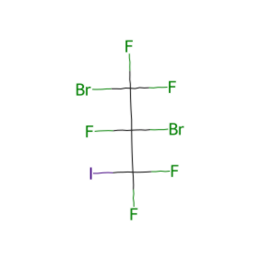 FC(F)(Br)C(F)(Br)C(F)(F)I